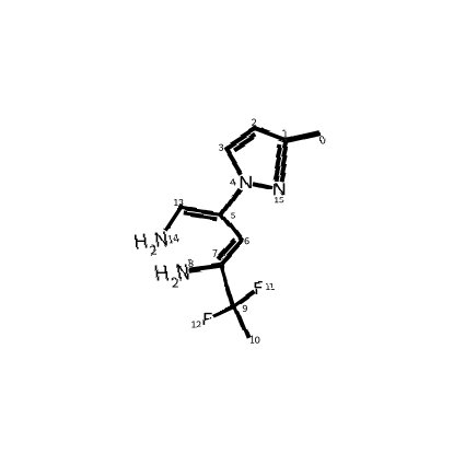 Cc1ccn(C(/C=C(\N)C(C)(F)F)=C/N)n1